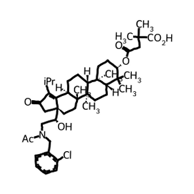 CC(=O)N(Cc1ccccc1Cl)C[C@H](O)[C@@]12CC[C@]3(C)[C@H](CC[C@@H]4[C@@]5(C)CC[C@H](OC(=O)CC(C)(C)C(=O)O)C(C)(C)[C@@H]5CC[C@]43C)C1=C(C(C)C)C(=O)C2